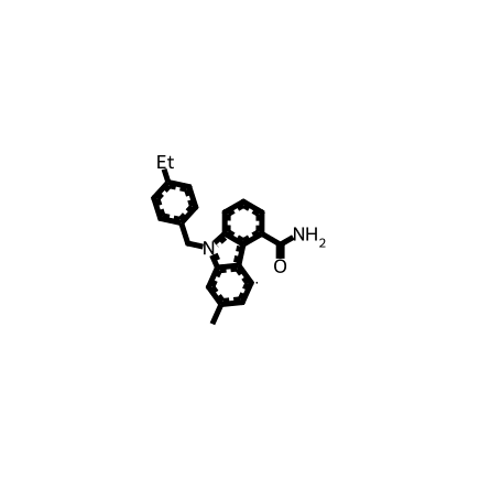 CCc1ccc(Cn2c3cc(C)c[c]c3c3c(C(N)=O)cccc32)cc1